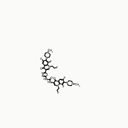 CN1CCN(c2c(F)cc3c(=O)c(NC(=O)Nc4nnc(-c5cn(CCF)c6c(F)c(N7CCN(C)CC7)c(F)cc6c5=O)s4)cn(CCF)c3c2F)CC1